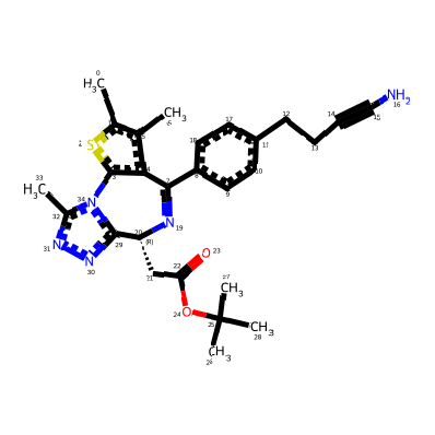 Cc1sc2c(c1C)C(c1ccc(CCC#CN)cc1)=N[C@H](CC(=O)OC(C)(C)C)c1nnc(C)n1-2